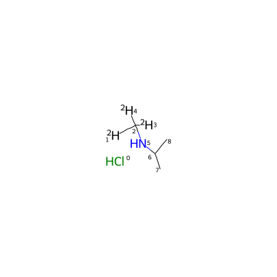 Cl.[2H]C([2H])([2H])NC(C)C